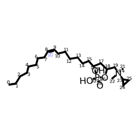 CCCCCCCC/C=C\CCCCCCCCC(C[N+](C)(C)C1CC1)OP(=O)(O)O